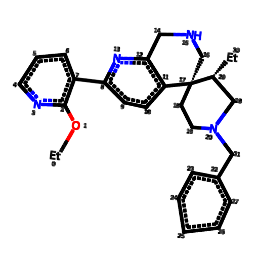 CCOc1ncccc1-c1ccc2c(n1)CNC[C@]21CCN(Cc2ccccc2)C[C@H]1CC